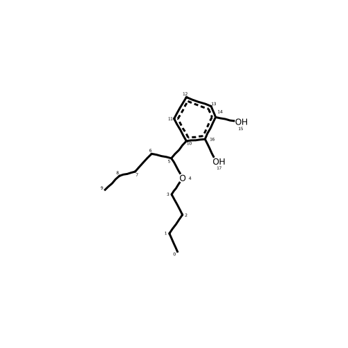 CCCCOC(CCCC)c1cccc(O)c1O